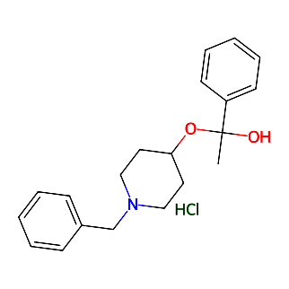 CC(O)(OC1CCN(Cc2ccccc2)CC1)c1ccccc1.Cl